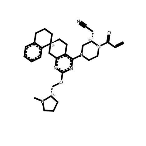 C=CC(=O)N1CCN(c2nc(OC[C@@H]3CCCN3C)nc3c2CC[C@@]2(CCCc4ccccc42)C3)C[C@@H]1CC#N